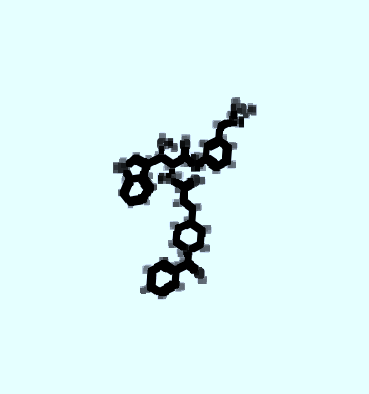 C[C@@H](c1c[nH]c2ccccc12)[C@@H](NC(=O)CCC1CCN(C(=O)c2ccccc2)CC1)C(=O)Nc1cccc(CNC(=O)O)c1